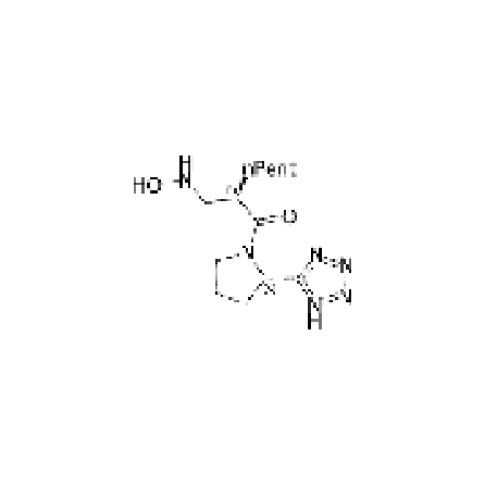 CCCCC[C@H](CNO)C(=O)N1CCC[C@H]1c1nnn[nH]1